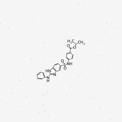 CC(C)OC(=O)c1ccc(NS(=O)(=O)c2ccc3[nH]c(Nc4ccccc4)nc3c2)cc1